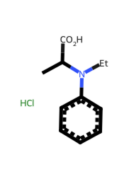 CCN(c1ccccc1)C(C)C(=O)O.Cl